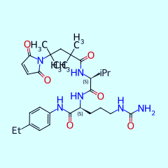 CCc1ccc(NC(=O)[C@H](CCCNC(N)=O)NC(=O)[C@@H](NC(=O)C(C)(C)CC(C)(C)N2C(=O)C=CC2=O)C(C)C)cc1